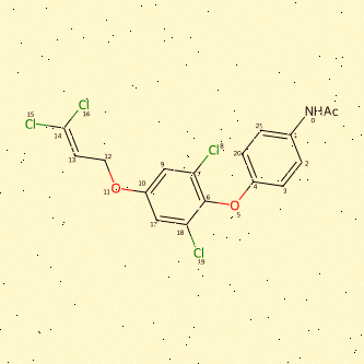 CC(=O)Nc1ccc(Oc2c(Cl)cc(OCC=C(Cl)Cl)cc2Cl)cc1